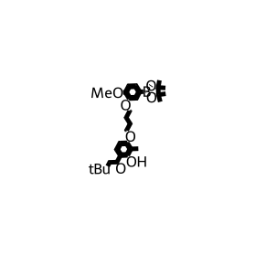 COc1ccc(B2OC(C)(C)C(C)(C)O2)cc1OCCCCOc1ccc(C(=O)CC(C)(C)C)c(O)c1C